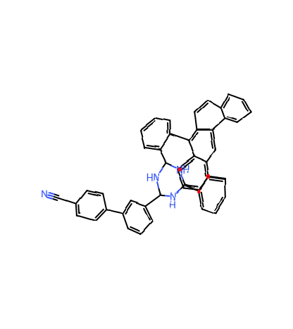 N#Cc1ccc(-c2cccc(C3NC(c4ccccc4)NC(c4ccccc4-c4c5ccccc5cc5c4ccc4ccccc45)N3)c2)cc1